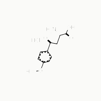 COc1ccc(C(=O)C[C@H](N)C(=O)O)cc1.Cl